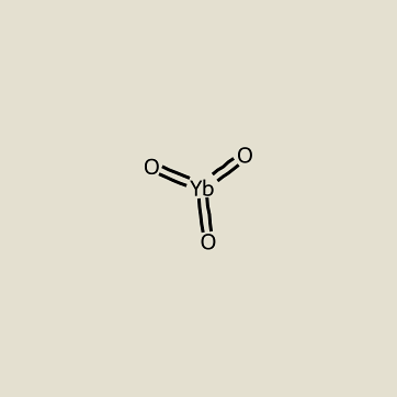 [O]=[Yb](=[O])=[O]